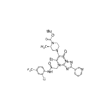 CCc1c(N2CCN(C(=O)OC(C)(C)C)[C@H](C)C2)c(=O)n2nc(-c3cccnc3)nc2n1CC(=O)Nc1ccc(C(F)(F)F)cc1Cl